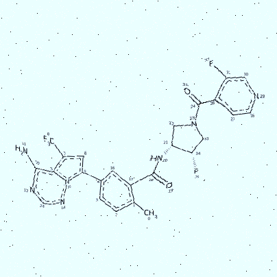 Cc1ccc(-c2cc(C(F)(F)F)c3c(N)ncnn23)cc1C(=O)N[C@@H]1CN(C(=O)c2ccncc2F)C[C@@H]1F